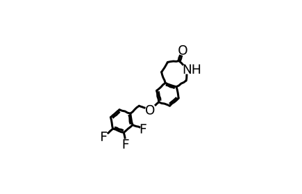 O=C1CCc2cc(OCc3ccc(F)c(F)c3F)ccc2CN1